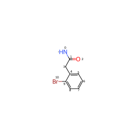 [NH]C(=O)Cc1ccccc1Br